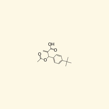 C=C(C(=O)O)C(OC(C)=O)c1ccc(C(C)(C)C)cc1